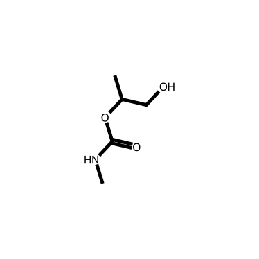 CNC(=O)OC(C)CO